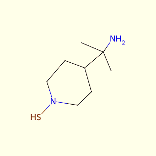 CC(C)(N)C1CCN(S)CC1